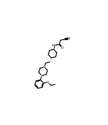 CCOc1ccccc1N1CCN(CC[C@H]2CC[C@H](NC(=O)CC#N)CC2)CC1